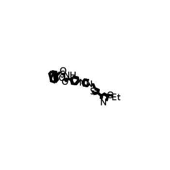 CCOc1cncc(-c2csc(CN3CCN(c4ccc(C(=O)NS(=O)(=O)CC56CC7CC(CC(C7)C5)C6)cc4)CC3)c2)c1